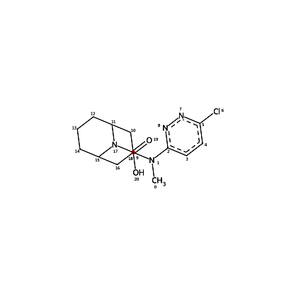 CN(c1ccc(Cl)nn1)C1CC2CCCC(C1)N2C(=O)O